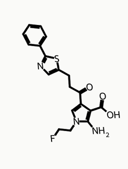 Nc1c(C(=O)O)c(C(=O)CCc2cnc(-c3ccccc3)s2)cn1CCF